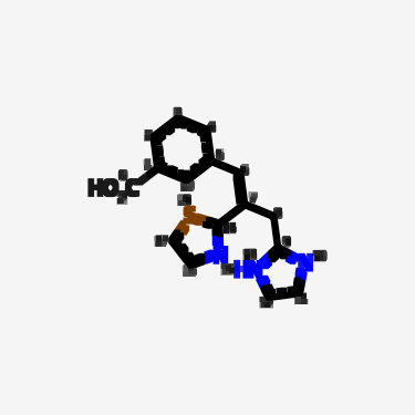 O=C(O)c1cccc(C=C(Cc2ncc[nH]2)c2nccs2)c1